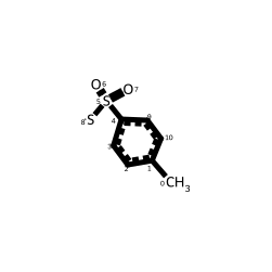 Cc1ccc(S(=O)(=O)[S])cc1